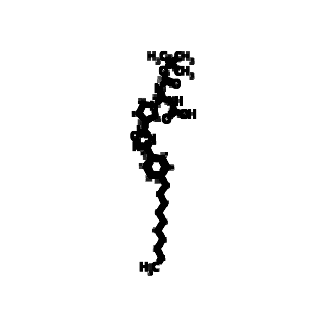 CCCCCCCCCCc1ccc(-c2noc(C3CCN(C(=NC(=O)OC(C)(C)C)NC(=O)O)C3)n2)cc1